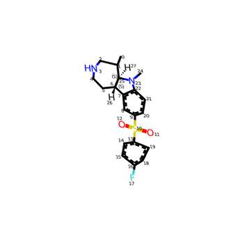 CC1CNCC[C@H]2c3cc(S(=O)(=O)c4ccc(F)cc4)ccc3N(C)[C@H]12